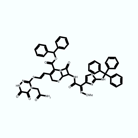 CO/N=C(/C(=O)NC1C(=O)N2C(C(=O)OC(c3ccccc3)c3ccccc3)=C(/C=C/Sc3n[nH]c(=O)c(=O)n3CC(N)=O)CSC12)c1csc(NC(c2ccccc2)(c2ccccc2)c2ccccc2)n1